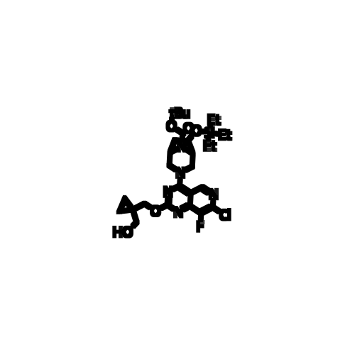 CC[Si](CC)(CC)OC1CC2CN(c3nc(OCC4(CO)CC4)nc4c(F)c(Cl)ncc34)CC1N2C(=O)OC(C)(C)C